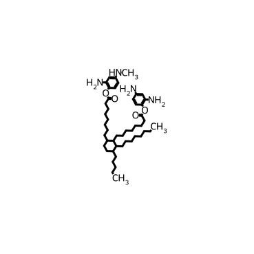 CCCCCCCCC1C(CCCCC)CCC(CCCCCCCC(=O)Oc2ccc(NC)cc2N)C1CCCCCCCC(=O)Oc1ccc(N)cc1N